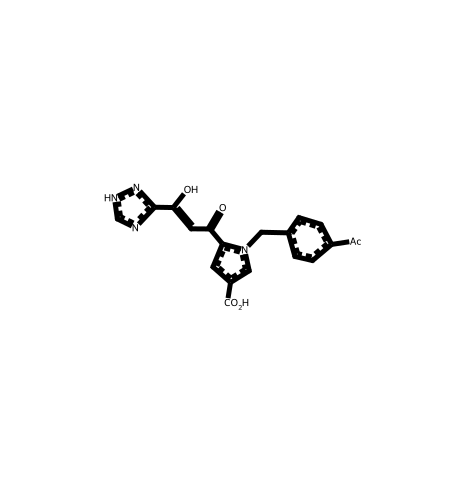 CC(=O)c1ccc(Cn2cc(C(=O)O)cc2C(=O)C=C(O)c2nc[nH]n2)cc1